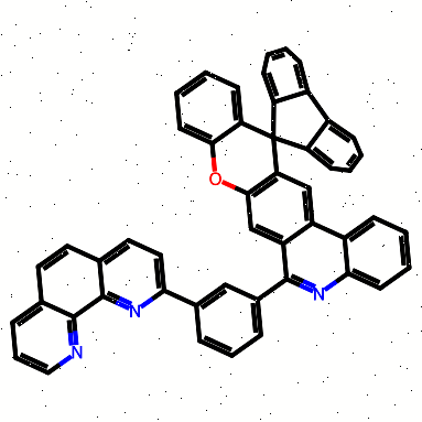 c1cc(-c2ccc3ccc4cccnc4c3n2)cc(-c2nc3ccccc3c3cc4c(cc23)Oc2ccccc2C42c3ccccc3-c3ccccc32)c1